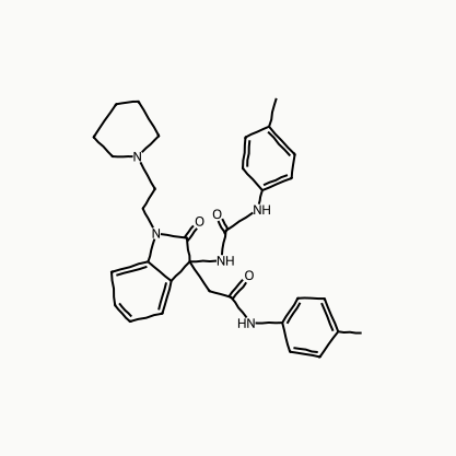 Cc1ccc(NC(=O)CC2(NC(=O)Nc3ccc(C)cc3)C(=O)N(CCN3CCCCC3)c3ccccc32)cc1